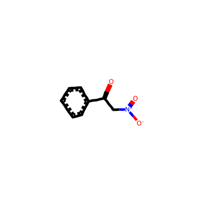 O=C([CH][N+](=O)[O-])c1ccccc1